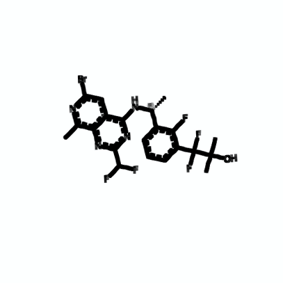 Cc1nc(Br)cc2c(N[C@H](C)c3cccc(C(F)(F)C(C)(C)O)c3F)nc(C(F)F)nc12